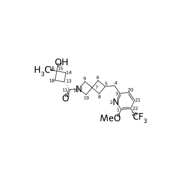 COc1nc(CC2CC3(C2)CN(C(=O)[C@H]2C[C@@](C)(O)C2)C3)ccc1C(F)(F)F